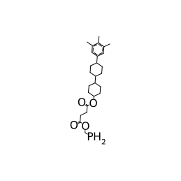 Cc1cc(C2CCC(C3CCC(OC(=O)CCC(=O)OCP)CC3)CC2)cc(C)c1C